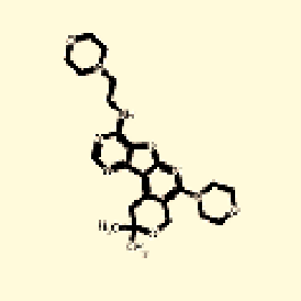 CC1(C)Cc2c(c(N3CCOCC3)nc3oc4c(NCCN5CCOCC5)ncnc4c23)CO1